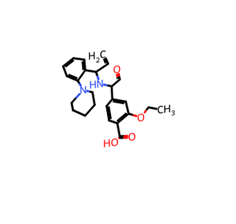 C=CC(NC(C=O)c1ccc(C(=O)O)c(OCC)c1)c1ccccc1N1CCCCC1